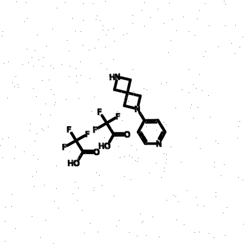 O=C(O)C(F)(F)F.O=C(O)C(F)(F)F.c1cc(N2CC3(CNC3)C2)ccn1